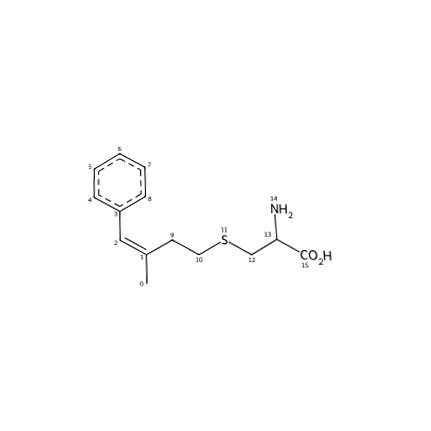 C/C(=C/c1ccccc1)CCSCC(N)C(=O)O